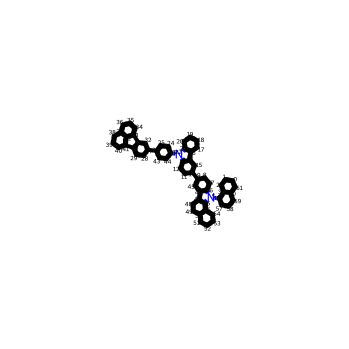 c1ccc2c(-n3c4ccc(-c5ccc6c(c5)c5ccccc5n6-c5ccc(-c6ccc7c(c6)-c6cccc8cccc-7c68)cc5)cc4c4ccc5ccccc5c43)cccc2c1